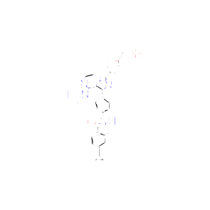 Nc1nccn2c(C3CCC(CO)OC3)nc(-c3ccc(NC(=O)c4ccc(C5CC5)cc4F)cc3)c12